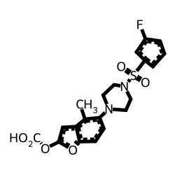 Cc1c(N2CCN(S(=O)(=O)c3cccc(F)c3)CC2)ccc2oc(OC(=O)O)cc12